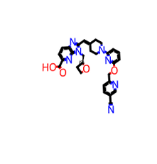 N#Cc1ccc(COc2cccc(N3CCC(=Cc4nc5ccc(C(=O)O)nc5n4C[C@@H]4CCO4)CC3)n2)nc1